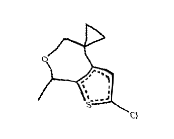 CC1OCC2(CC2)c2cc(Cl)sc21